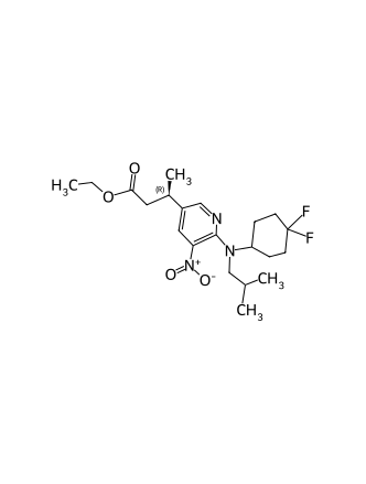 CCOC(=O)C[C@@H](C)c1cnc(N(CC(C)C)C2CCC(F)(F)CC2)c([N+](=O)[O-])c1